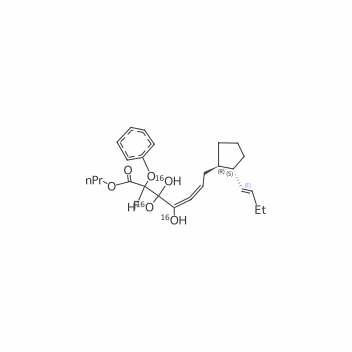 CC/C=C/[C@H]1CCC[C@@H]1CC=C=C([16OH])C([16OH])([16OH])C(F)(Oc1ccccc1)C(=O)OCCC